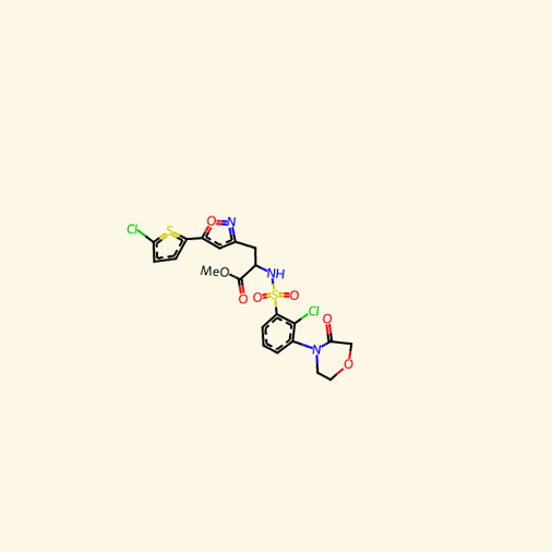 COC(=O)C(Cc1cc(-c2ccc(Cl)s2)on1)NS(=O)(=O)c1cccc(N2CCOCC2=O)c1Cl